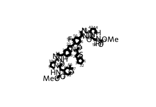 COC(=O)NC(C(=O)N1CCC[C@H]1c1ncc(-c2ccc3c(c2)cc2n3C(c3cc4c(s3)CCC4)Oc3cc(-c4cnc([C@@H]5CCCN5C(=O)[C@@H](NC(=O)OC)C(C)C)[nH]4)cc(F)c3-2)[nH]1)C1CCOC(C)(C)C1